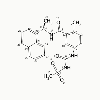 Cc1ccc(NC(=O)NS(C)(=O)=O)cc1C(=O)N[C@H](C)c1cccc2ccccc12